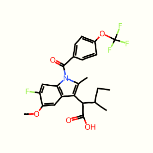 CCC(C)C(C(=O)O)c1c(C)n(C(=O)c2ccc(OC(F)(F)F)cc2)c2cc(F)c(OC)cc12